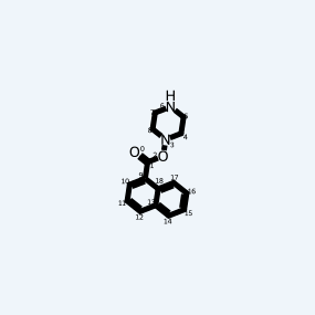 O=C(ON1CCNCC1)c1cccc2ccccc12